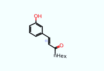 CCCCCCC(=O)/C=C/c1cccc(O)c1